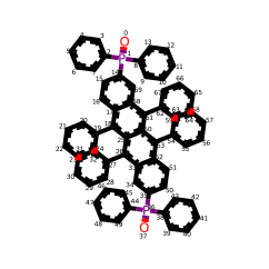 O=P(c1ccccc1)(c1ccccc1)c1ccc2c(-c3ccccc3)c3c(-c4ccccc4)c4cc(P(=O)(c5ccccc5)c5ccccc5)ccc4c(-c4ccccc4)c3c(-c3ccccc3)c2c1